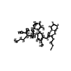 CCSCC(CC1CCCCC1)NCc1cc(-c2ccccc2C)c(C(=O)NC(CCSC)C(=O)O)cc1F